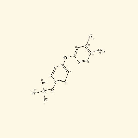 CC(C)[Si](Oc1ccc(Nc2ccc([N+](=O)[O-])c(C(F)(F)F)c2)cc1)(C(C)C)C(C)C